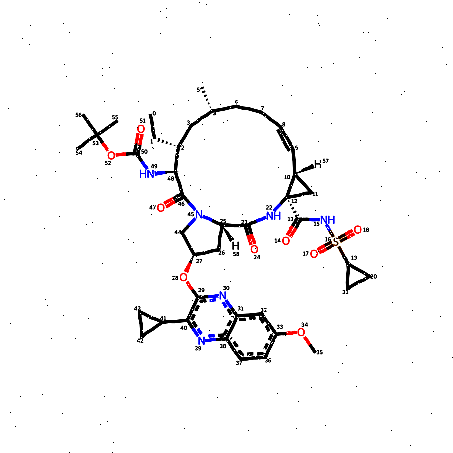 CC[C@@H]1C[C@H](C)CC/C=C\[C@@H]2C[C@@]2(C(=O)NS(=O)(=O)C2CC2)NC(=O)[C@@H]2C[C@@H](Oc3nc4cc(OC)ccc4nc3C3CC3)CN2C(=O)[C@H]1NC(=O)OC(C)(C)C